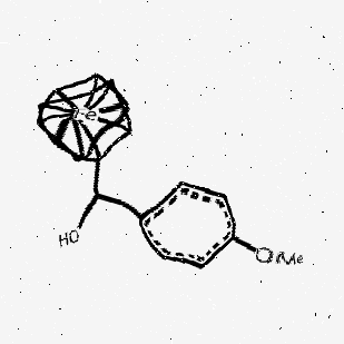 COc1ccc(C(O)[C]23[CH]4[CH]5[CH]6[CH]2[Fe]56432789[CH]3[CH]2[CH]7[CH]8[CH]39)cc1